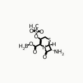 BOC(=O)C1=C(OS(C)(=O)=O)CS[C@@H]2[C@H](N)C(=O)N12